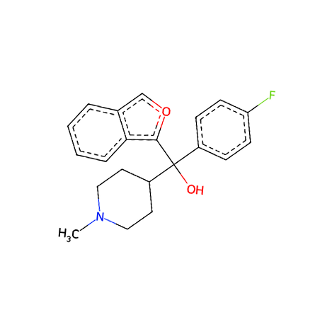 CN1CCC(C(O)(c2ccc(F)cc2)c2occ3ccccc23)CC1